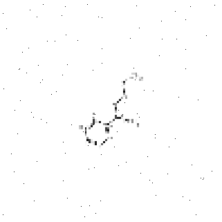 COCCN(C)c1ccccn1